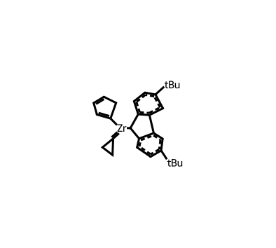 CC(C)(C)c1ccc2c(c1)-c1cc(C(C)(C)C)ccc1[CH]2[Zr]([C]1=CC=CC1)=[C]1CC1